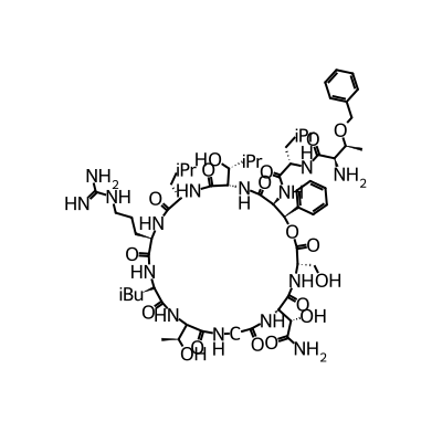 CC[C@H](C)C1NC(=O)[C@@H](CCCNC(=N)N)NC(=O)[C@H](CC(C)C)NC(=O)[C@H]([C@H](O)C(C)C)NC(=O)[C@@H](NC(=O)[C@H](CC(C)C)NC(=O)[C@H](N)[C@H](C)OCc2ccccc2)[C@@H](c2ccccc2)OC(=O)[C@H](CO)NC(=O)[C@H]([C@H](O)C(N)=O)NC(=O)CNC(=O)C([C@H](C)O)NC1=O